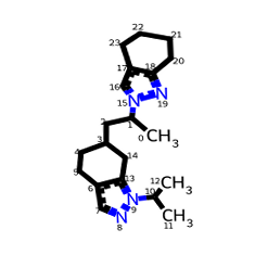 CC(CC1CCc2cnn(C(C)C)c2C1)n1cc2c(n1)CCCC2